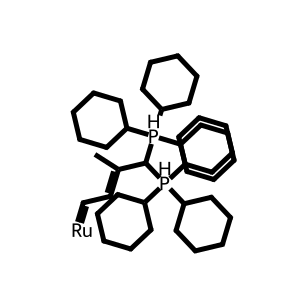 CC(=C[CH]=[Ru])C([PH](C1CCCCC1)(C1CCCCC1)C1CCCCC1)[PH](C1CCCCC1)(C1CCCCC1)C1CCCCC1